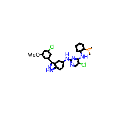 COc1cc(Cl)cc(-c2n[nH]c3ccc(Nc4ncc(Cl)c(Nc5ccccc5P(C)C)n4)cc23)c1